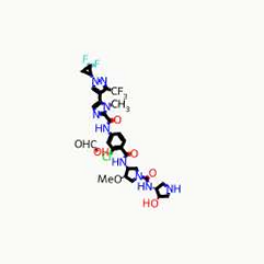 CO[C@H]1CN(C(=O)N[C@@H]2CNC[C@H]2O)C[C@@H]1NC(=O)c1ccc(NC(=O)c2ncc(-c3cn(C4CC4(F)F)nc3C(F)(F)F)n2C)cc1Cl.O=CO